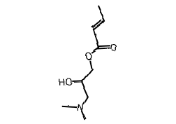 CC=CC(=O)OCC(O)CN(C)C